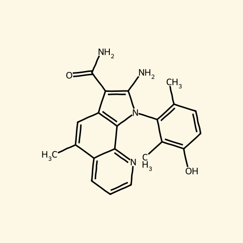 Cc1ccc(O)c(C)c1-n1c(N)c(C(N)=O)c2cc(C)c3cccnc3c21